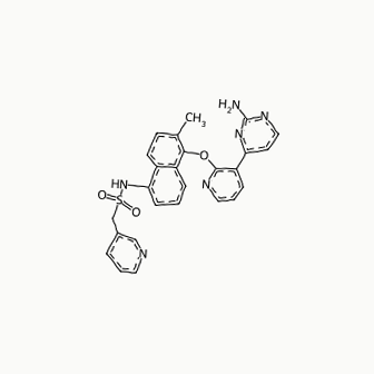 Cc1ccc2c(NS(=O)(=O)Cc3cccnc3)cccc2c1Oc1ncccc1-c1ccnc(N)n1